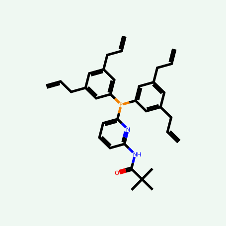 C=CCc1cc(CC=C)cc(P(c2cc(CC=C)cc(CC=C)c2)c2cccc(NC(=O)C(C)(C)C)n2)c1